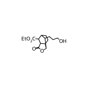 CCOC(=O)C1C2CCC3C(OC(=O)C31)C2CCCO